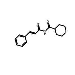 O=C(/C=C/c1ccccc1)NC(=O)N1CCOCC1